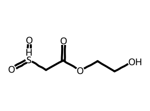 O=C(C[SH](=O)=O)OCCO